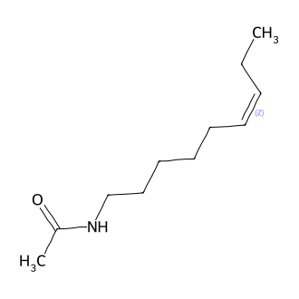 CC/C=C\CCCCCNC(C)=O